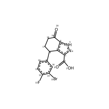 O=C(O)c1n[nH]c2c1C(c1ccc(F)c(Br)c1)CCC2=O